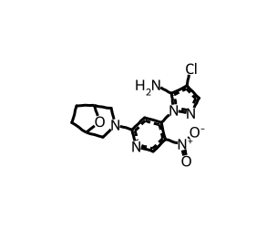 Nc1c(Cl)cnn1-c1cc(N2CC3CCC(C2)O3)ncc1[N+](=O)[O-]